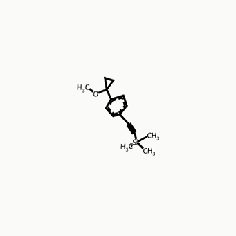 COC1(c2ccc(C#C[Si](C)(C)C)cc2)CC1